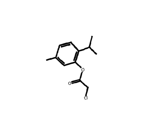 Cc1ccc(C(C)C)c(OC(=O)CCl)c1